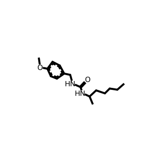 CCCCCC(C)NC(=O)NCc1ccc(OC)cc1